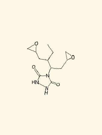 CCC(CC1CO1)C(CC1CO1)n1c(=O)[nH][nH]c1=O